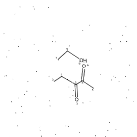 CCC(=O)C(C)=O.CCO